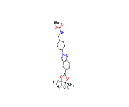 CC(C)(C)OC(=O)NCC1CCC(n2cc3cc(B4OC(C)(C)C(C)(C)O4)ccc3n2)CC1